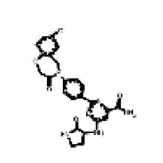 NC(=O)c1cc(NC2CCNC2=O)nc(-c2ccc(N3Cc4cc(Cl)ccc4OCC3=O)cc2)n1